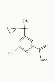 COC(=O)c1cc(C(F)(F)F)cc(C(C)(F)C2CC2)c1